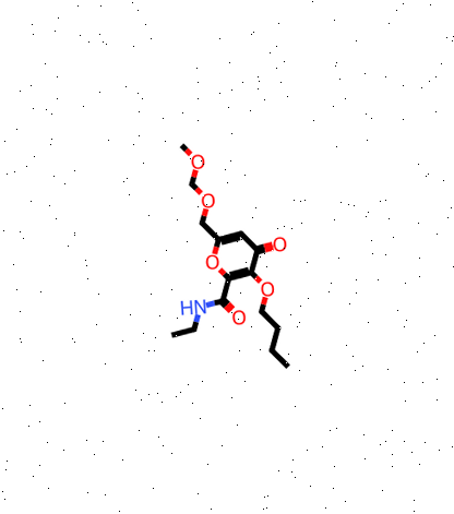 CCCCOc1c(C(=O)NCC)oc(COCOC)cc1=O